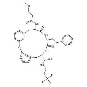 COCCC(=O)N[C@H]1Cc2cccc(c2)Oc2cccc(c2)C[C@@H](C(=O)NCCC(F)(F)F)NC(=O)[C@H](CCc2ccccc2)NC1=O